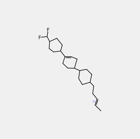 C/C=C/CCC1CCC(C2CC=C(C3CCC(C(F)F)CC3)CC2)CC1